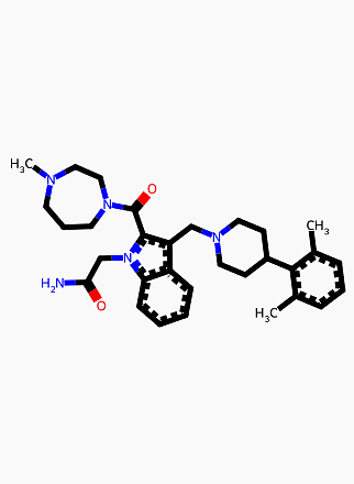 Cc1cccc(C)c1C1CCN(Cc2c(C(=O)N3CCCN(C)CC3)n(CC(N)=O)c3ccccc23)CC1